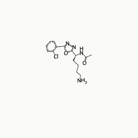 CC(=O)N[C@@H](CCCCN)c1nnc(-c2ccccc2Cl)o1